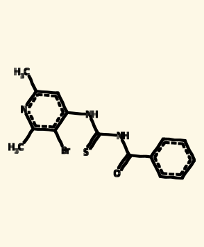 Cc1cc(NC(=S)NC(=O)c2ccccc2)c(Br)c(C)n1